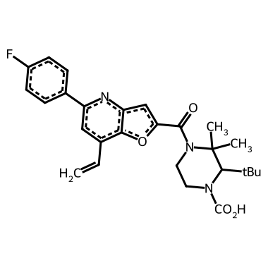 C=Cc1cc(-c2ccc(F)cc2)nc2cc(C(=O)N3CCN(C(=O)O)C(C(C)(C)C)C3(C)C)oc12